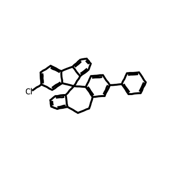 Clc1ccc2c(c1)C1(c3ccccc3CCc3cc(-c4ccccc4)ccc31)c1ccccc1-2